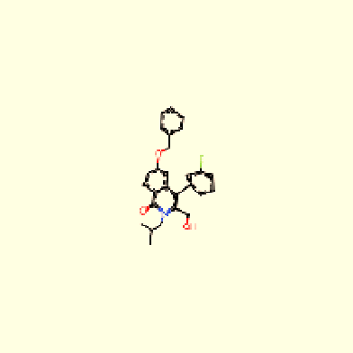 CC(C)Cn1c(CO)c(-c2cccc(F)c2)c2cc(OCc3ccccc3)ccc2c1=O